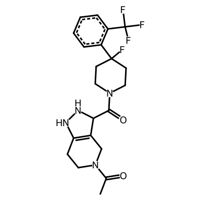 CC(=O)N1CCC2=C(C1)C(C(=O)N1CCC(F)(c3ccccc3C(F)(F)F)CC1)NN2